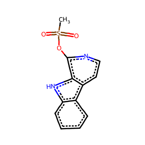 CS(=O)(=O)Oc1nccc2c1[nH]c1ccccc12